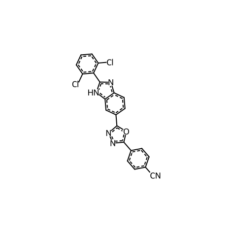 N#Cc1ccc(-c2nnc(-c3ccc4nc(-c5c(Cl)cccc5Cl)[nH]c4c3)o2)cc1